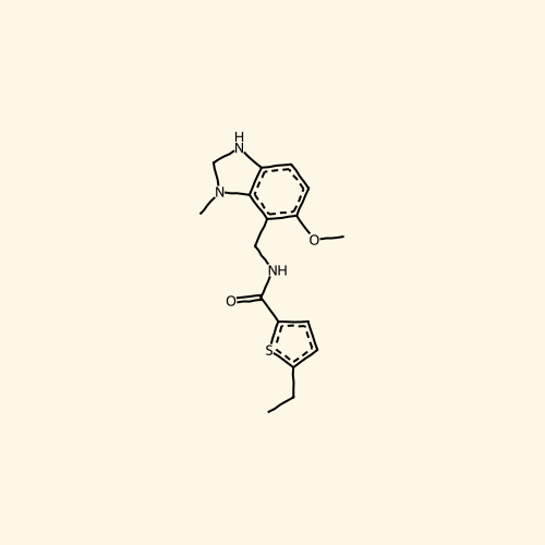 CCc1ccc(C(=O)NCc2c(OC)ccc3c2N(C)CN3)s1